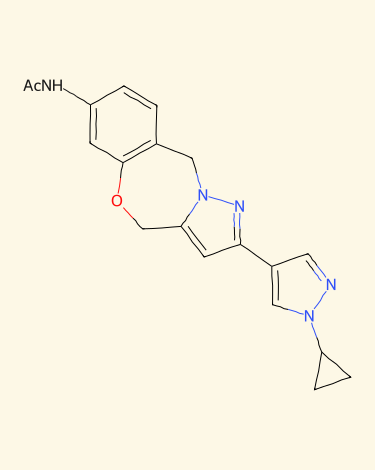 CC(=O)Nc1ccc2c(c1)OCc1cc(-c3cnn(C4CC4)c3)nn1C2